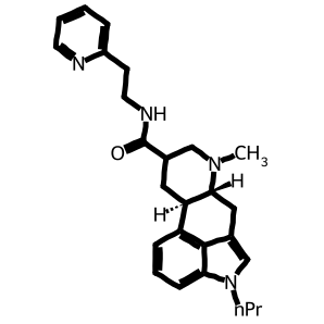 CCCn1cc2c3c(cccc31)[C@H]1CC(C(=O)NCCc3ccccn3)CN(C)[C@@H]1C2